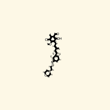 COc1c(Cl)c(C)c(C=O)c(O)c1C/C=C(C)/C=C/[C@@]1(C)[C@H](C)CC/C(=N\OCCN2CCOCC2)[C@@H]1C